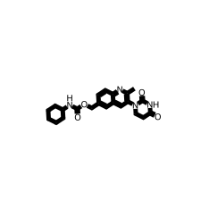 Cc1nc2ccc(COC(=O)NC3CCCCC3)cc2cc1N1CCC(=O)NC1=O